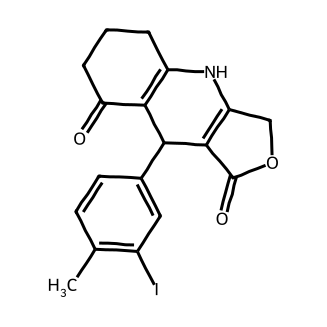 Cc1ccc(C2C3=C(CCCC3=O)NC3=C2C(=O)OC3)cc1I